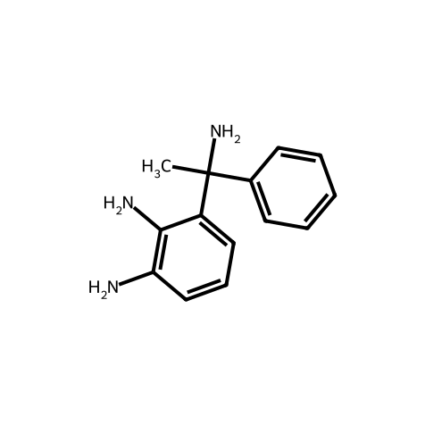 CC(N)(c1ccccc1)c1cccc(N)c1N